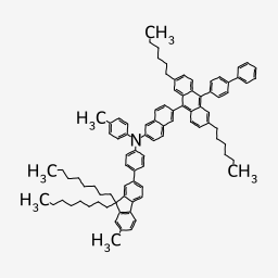 CCCCCCCCC1(CCCCCCCC)c2cc(C)ccc2-c2ccc(-c3ccc(N(c4ccc(C)cc4)c4ccc5cc(-c6c7ccc(CCCCCC)cc7c(-c7ccc(-c8ccccc8)cc7)c7ccc(CCCCCC)cc67)ccc5c4)cc3)cc21